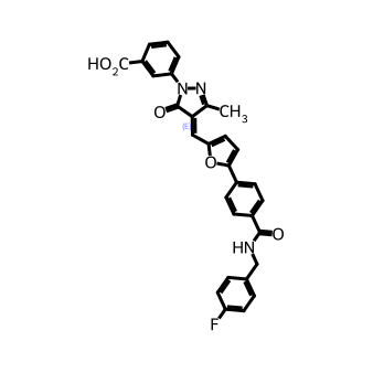 CC1=NN(c2cccc(C(=O)O)c2)C(=O)/C1=C/c1ccc(-c2ccc(C(=O)NCc3ccc(F)cc3)cc2)o1